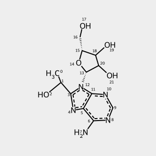 CC(O)c1nc2c(N)ncnc2n1[C@@H]1O[C@H](CO)C(O)C1O